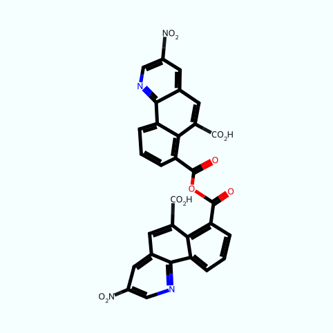 O=C(O)c1cc2cc([N+](=O)[O-])cnc2c2cccc(C(=O)OC(=O)c3cccc4c3c(C(=O)O)cc3cc([N+](=O)[O-])cnc34)c12